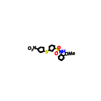 COc1ccccc1NS(=O)(=O)c1cccc(Sc2ccc([N+](=O)[O-])cc2)c1